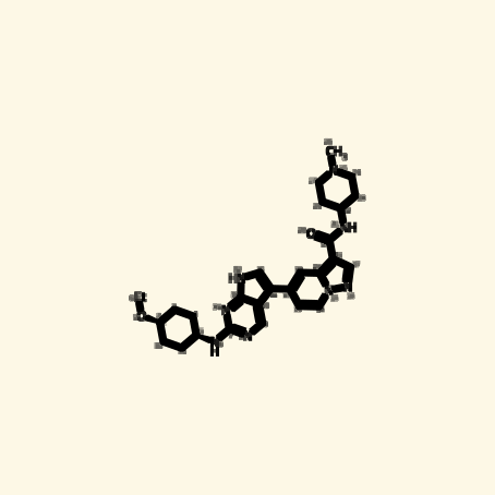 CCO[C@H]1CC[C@@H](Nc2ncc3c(-c4ccn5ncc(C(=O)NC6CCN(C)CC6)c5c4)c[nH]c3n2)CC1